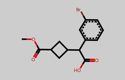 COC(=O)C1CC(C(C(=O)O)c2cccc(Br)c2)C1